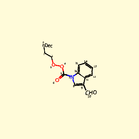 CCCCCCCCCCCCOOC(=O)n1cc(C=O)c2ccccc21